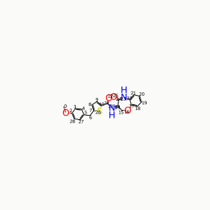 COc1ccc(Cc2ccc(C(=O)N[C@@H]3COc4ccccc4NC3=O)s2)cc1